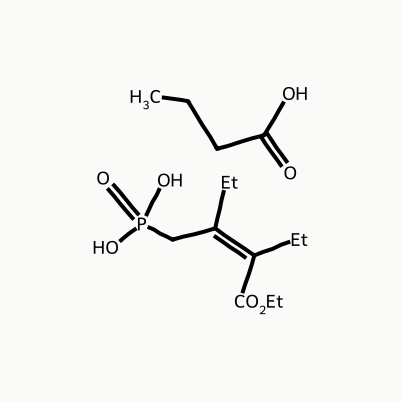 CCCC(=O)O.CCOC(=O)C(CC)=C(CC)CP(=O)(O)O